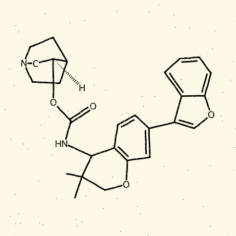 CC1(C)COc2cc(-c3coc4ccccc34)ccc2C1NC(=O)O[C@H]1CN2CCC1CC2